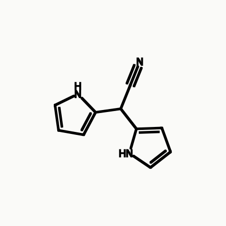 N#CC(c1ccc[nH]1)c1ccc[nH]1